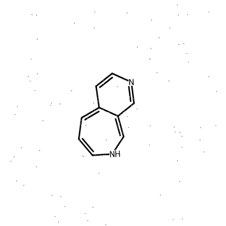 C1=CNC=c2cnccc2=C1